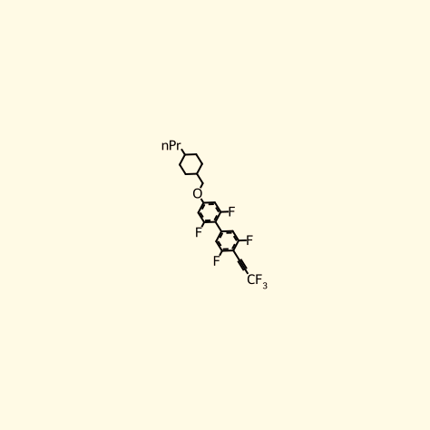 CCCC1CCC(COc2cc(F)c(-c3cc(F)c(C#CC(F)(F)F)c(F)c3)c(F)c2)CC1